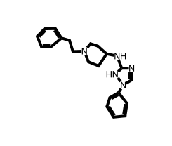 C1=NC(NC2CCN(CCc3ccccc3)CC2)NN1c1ccccc1